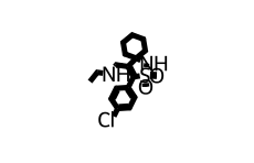 CCNCC1=C(c2ccc(Cl)cc2)S(=O)(=O)NC12CCCCC2